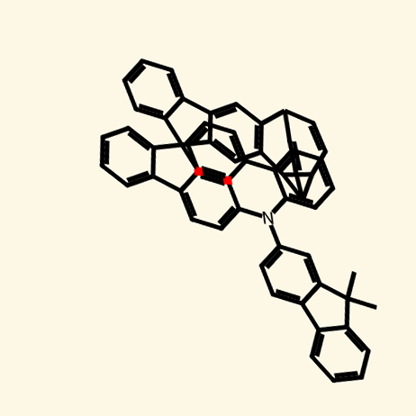 CC1(C)c2ccccc2-c2ccc(N(c3ccc4c(c3)C3(c5ccccc5-4)c4ccccc4-c4cc5c(cc43)C3C4C=CC5C=CC43)c3ccccc3-c3ccccc3)cc21